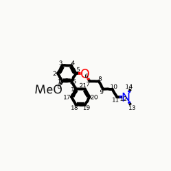 COc1cccc(OCCCCCN(C)C)c1-c1ccccc1